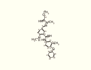 CNc1ccc(/C=N/N(C)C(=N)COC)cc1C(=N)Nc1ccc(Oc2ccccc2)c(C)c1